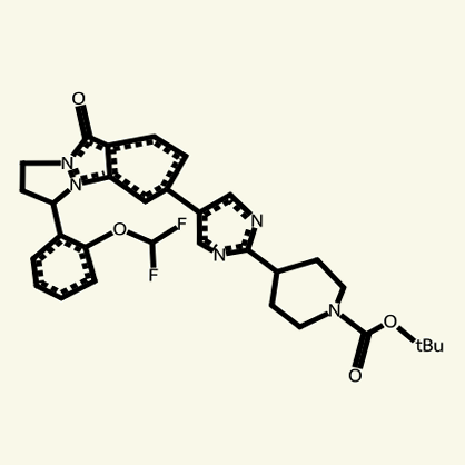 CC(C)(C)OC(=O)N1CCC(c2ncc(-c3ccc4c(=O)n5n(c4c3)C(c3ccccc3OC(F)F)CC5)cn2)CC1